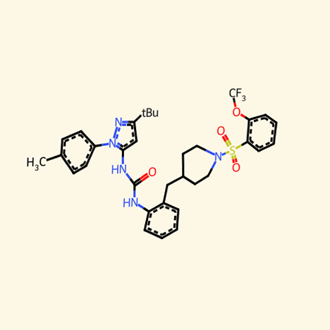 Cc1ccc(-n2nc(C(C)(C)C)cc2NC(=O)Nc2ccccc2CC2CCN(S(=O)(=O)c3ccccc3OC(F)(F)F)CC2)cc1